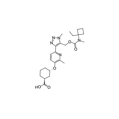 CCC1(N(C)C(=O)OCc2c(-c3ccc(O[C@H]4CCC[C@H](C(=O)O)C4)c(C)n3)nnn2C)CCC1